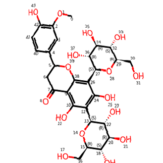 COc1cc(C2CC(=O)c3c(O)c([C@@H]4O[C@H](CO)[C@@H](O)[C@H](O)[C@H]4O)c(O)c([C@@H]4O[C@H](CO)[C@@H](O)[C@H](O)[C@H]4O)c3O2)ccc1O